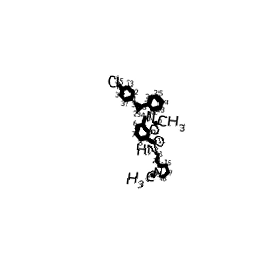 CC(=O)N(Cc1cccc(C(=O)NCCC2CCCN2C)c1)c1ccccc1C1C[C@@H]1c1ccc(Cl)cc1